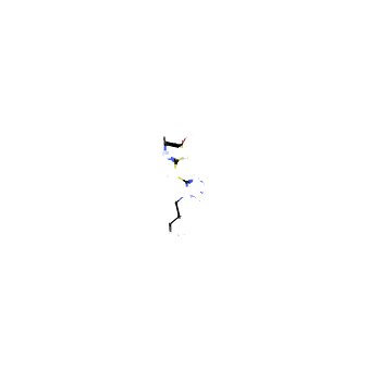 COCCCn1nnnc1Sc1nc(C(C)(C)C)c(Br)s1